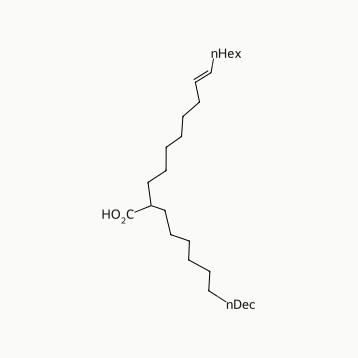 CCCCCCC=CCCCCCCC(CCCCCCCCCCCCCCCC)C(=O)O